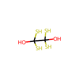 OC(S)(S)C(O)(S)S